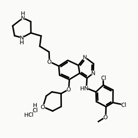 COc1cc(Nc2ncnc3cc(OCCCC4CNCCN4)cc(OC4CCOCC4)c23)c(Cl)cc1Cl.Cl.Cl